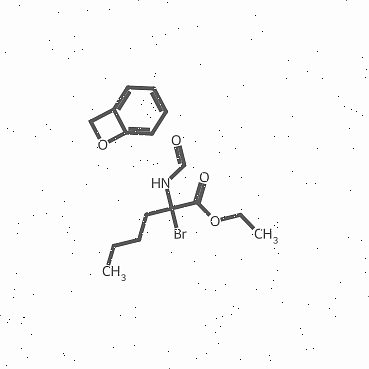 CCCCC(Br)(NC=O)C(=O)OCC.c1ccc2c(c1)CO2